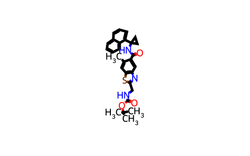 Cc1cc2sc(CNC(=O)OC(C)(C)C)nc2cc1C(=O)NC1(c2cccc3ccccc23)CC1